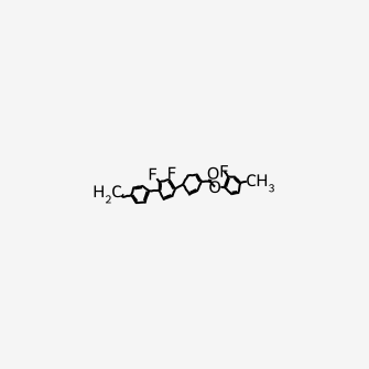 C=Cc1ccc(-c2ccc(C3C=CC(C(=O)Oc4ccc(C)cc4F)=CC3)c(F)c2F)cc1